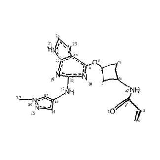 C=CC(=O)NC1CC(Oc2nc(Nc3cnn(C)c3)nc3[nH]cnc23)C1